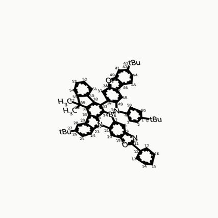 CC(C)(C)c1ccc(N2B3c4cc5nc(-c6ccccc6)oc5cc4-n4c5ccc(C(C)(C)C)cc5c5c6c(c(c3c54)-c3cc4oc5cc(C(C)(C)C)ccc5c4cc32)-c2ccccc2C6(C)C)cc1